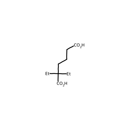 CCC(CC)(CCCC(=O)O)C(=O)O